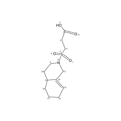 O=C(O)CCS(=O)(=O)N1CCC2CCCC=C2C1